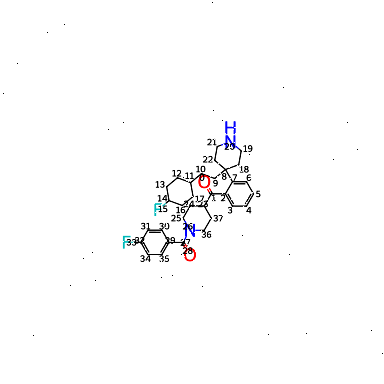 O=C(c1ccccc1C1(CCC2CCC(F)CC2)CCNCC1)C1CCN(C(=O)c2ccc(F)cc2)CC1